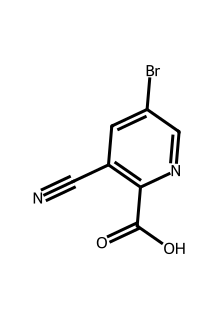 N#Cc1cc(Br)cnc1C(=O)O